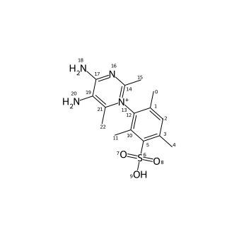 Cc1cc(C)c(S(=O)(=O)O)c(C)c1-[n+]1c(C)nc(N)c(N)c1C